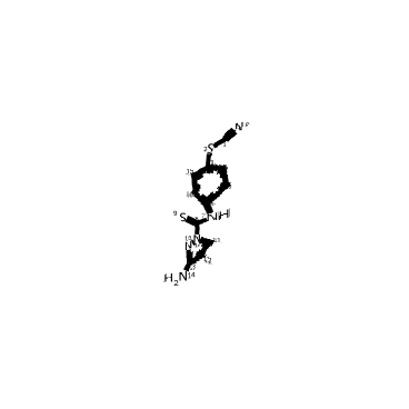 N#CSc1ccc(NC(=S)n2ccc(N)n2)cc1